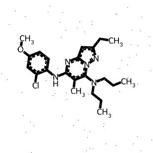 CCCN(CCC)c1c(C)c(Nc2ccc(OC)cc2Cl)nc2cc(CC)nn12